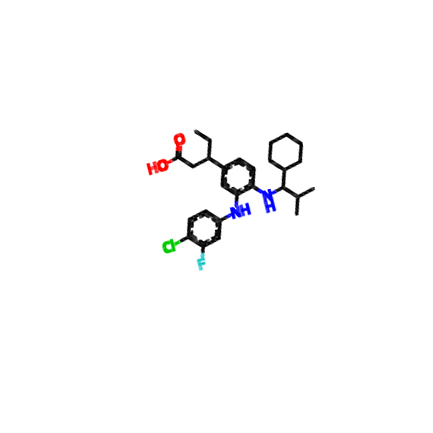 CCC(CC(=O)O)c1ccc(NC(C(C)C)C2CCCCC2)c(Nc2ccc(Cl)c(F)c2)c1